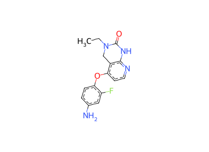 CCN1Cc2c(Oc3ccc(N)cc3F)ccnc2NC1=O